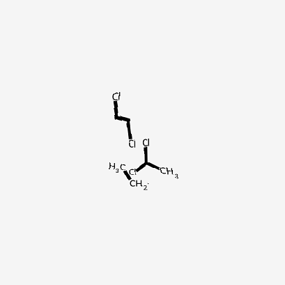 CC(Cl)Cl.ClCCCl.[CH2]C